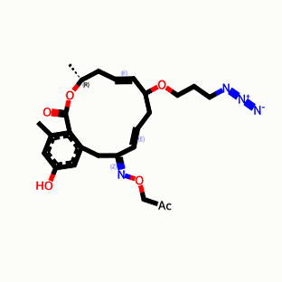 CC(=O)CO/N=C1\C=C\CC(OCCCN=[N+]=[N-])/C=C/C[C@@H](C)OC(=O)c2c(C)cc(O)cc2C1